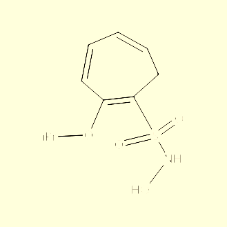 CC(C)OC1=C(S(=O)(=O)NO)CC=CC=C1